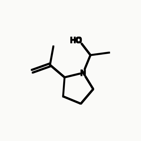 C=C(C)C1CCCN1C(C)O